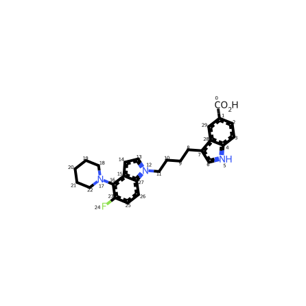 O=C(O)c1ccc2[nH]cc(CCCCn3ccc4c(N5CCCCC5)c(F)ccc43)c2c1